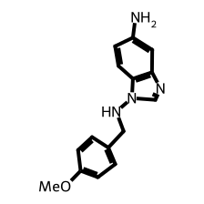 COc1ccc(CNn2cnc3cc(N)ccc32)cc1